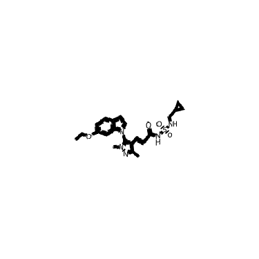 CCOc1ccc2ccn(-c3c(C=CC(=O)NS(=O)(=O)NCC4CC4)c(C)nn3C)c2c1